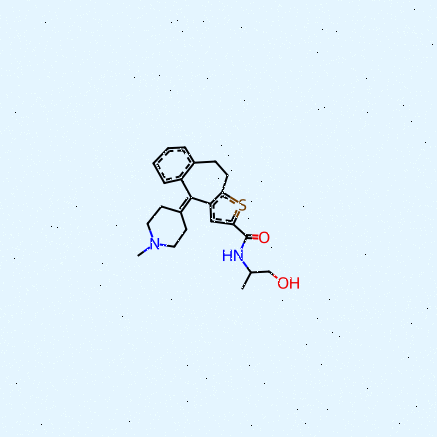 CC(CO)NC(=O)c1cc2c(s1)CCc1ccccc1C2=C1CCN(C)CC1